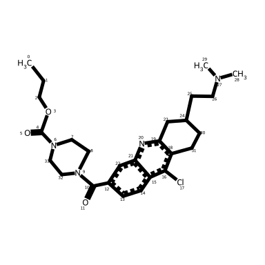 CCCOC(=O)N1CCN(C(=O)c2ccc3c(Cl)c4c(nc3c2)CC(CCN(C)C)CC4)CC1